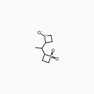 C[C](C1CC[S+]1[O-])C1CCS1(=O)=O